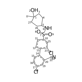 CC1(O)CCC(NS(=O)(=O)c2ccc(-c3ccc(Cl)cc3C#N)c(Cl)c2)CC1